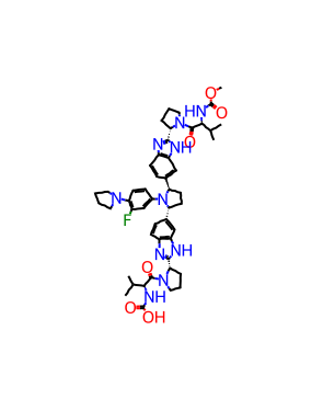 COC(=O)N[C@H](C(=O)N1CCC[C@H]1c1nc2ccc([C@H]3CC[C@H](c4ccc5nc([C@@H]6CCCN6C(=O)[C@@H](NC(=O)O)C(C)C)[nH]c5c4)N3c3ccc(N4CCCC4)c(F)c3)cc2[nH]1)C(C)C